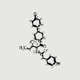 CC[C@@H](C)[C@@H](NC(=O)Cc1ccc(F)cc1)C(=O)N1CCC(c2ccc(Cl)cc2)CC1